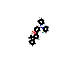 CC1(C)c2ccccc2-c2ccc3c(oc4ccc(N(c5ccccc5)c5ccccc5)cc43)c21